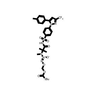 Cc1ccc(-c2cc(C(F)(F)F)nn2-c2ccc(S(=O)(=O)NC(=O)C(C)(C)N(C)[N+]([O-])=NOCOC(=O)C(C)(C)C)cc2)cc1